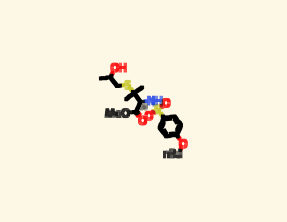 CCCCOc1ccc(S(=O)(=O)N[C@@H](C(=O)OC)C(C)(C)SCC(C)O)cc1